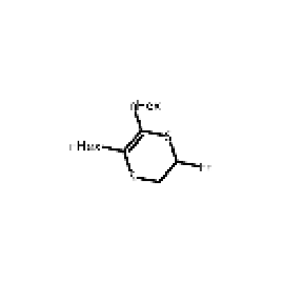 CCCCCCC1=C(CCCCCC)SC(CC)CS1